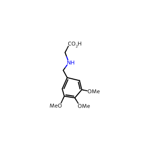 COc1cc(CNCC(=O)O)cc(OC)c1OC